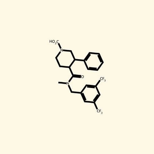 CN(Cc1cc(C(F)(F)F)cc(C(F)(F)F)c1)C(=O)C1CCN(C(=O)O)CC1c1ccccc1